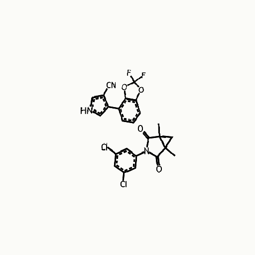 CC12CC1(C)C(=O)N(c1cc(Cl)cc(Cl)c1)C2=O.N#Cc1c[nH]cc1-c1cccc2c1OC(F)(F)O2